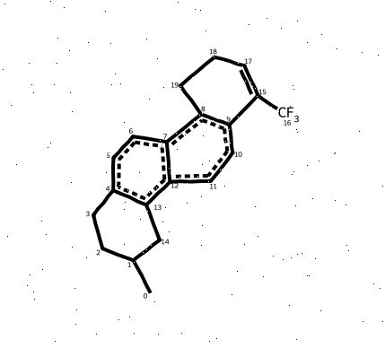 CC1CCc2ccc3c4c(ccc3c2C1)C(C(F)(F)F)=CCC4